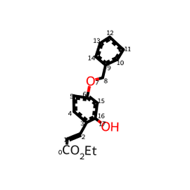 CCOC(=O)C=Cc1ccc(OCc2ccccc2)cc1O